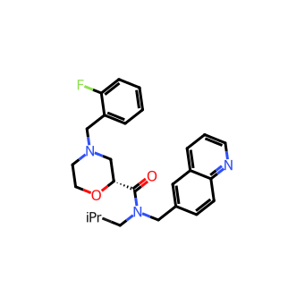 CC(C)CN(Cc1ccc2ncccc2c1)C(=O)[C@H]1CN(Cc2ccccc2F)CCO1